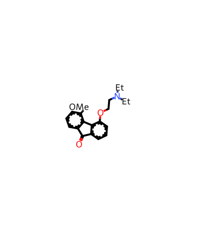 CCN(CC)CCOc1cccc2c1-c1c(OC)cccc1C2=O